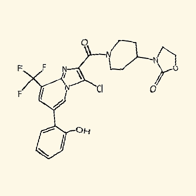 O=C(c1nc2c(C(F)(F)F)cc(-c3ccccc3O)cn2c1Cl)N1CCC(N2CCOC2=O)CC1